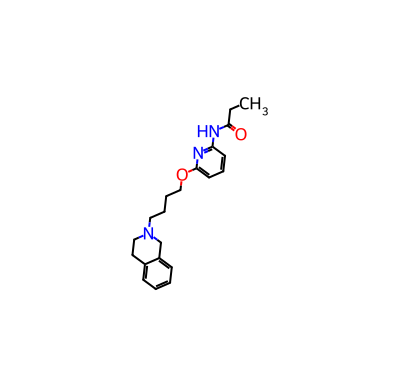 CCC(=O)Nc1cccc(OCCCCN2CCc3ccccc3C2)n1